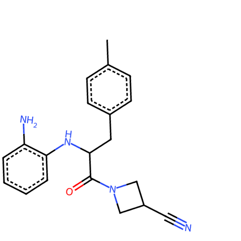 Cc1ccc(CC(Nc2ccccc2N)C(=O)N2CC(C#N)C2)cc1